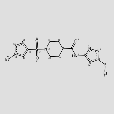 CCSc1nnc(NC(=O)C2CCN(S(=O)(=O)c3cn(CC)cn3)CC2)s1